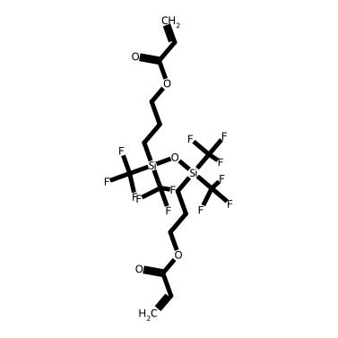 C=CC(=O)OCCC[Si](O[Si](CCCOC(=O)C=C)(C(F)(F)F)C(F)(F)F)(C(F)(F)F)C(F)(F)F